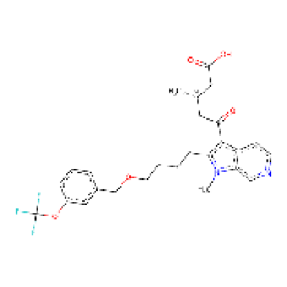 C[C@H](CC(=O)O)CC(=O)c1c(CCCCOCc2cccc(OC(F)(F)F)c2)n(C)c2cnccc12